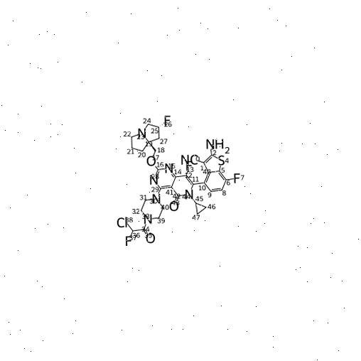 N#Cc1c(N)sc2c(F)ccc(-c3c(F)c4nc(OC[C@@]56CCCN5C[C@H](F)C6)nc(N5CCN(C(=O)C(F)Cl)CC5)c4c(=O)n3C3CC3)c12